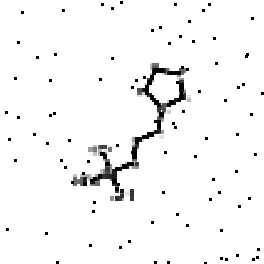 O[Si](O)(O)CCCN1CCCC1